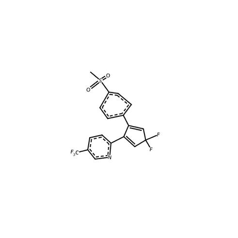 CS(=O)(=O)c1ccc(C2=CC(F)(F)C=C2c2ccc(C(F)(F)F)cn2)cc1